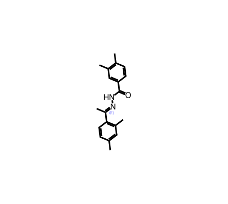 C/C(=N\NC(=O)c1ccc(C)c(C)c1)c1ccc(C)cc1C